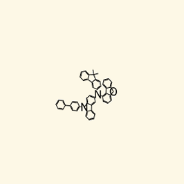 CC1(C)c2ccccc2-c2cc(N(c3ccc4c(c3)c3ccccc3n4-c3ccc(-c4ccccc4)cc3)c3cccc4oc5ccccc5c34)ccc21